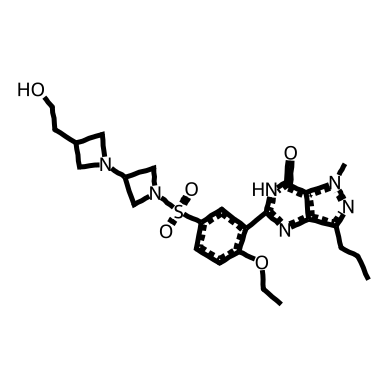 CCCc1nn(C)c2c(=O)[nH]c(-c3cc(S(=O)(=O)N4CC(N5CC(CCO)C5)C4)ccc3OCC)nc12